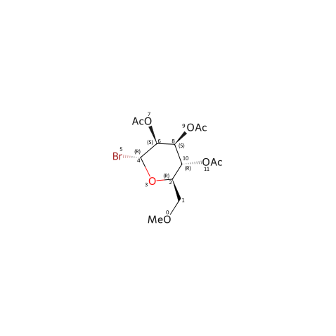 COC[C@H]1O[C@H](Br)[C@@H](OC(C)=O)[C@@H](OC(C)=O)[C@@H]1OC(C)=O